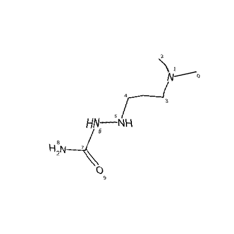 CN(C)CCNNC(N)=O